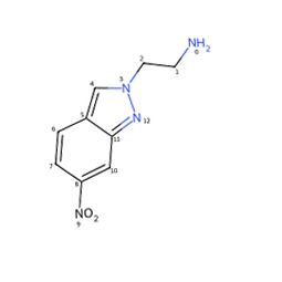 NCCn1cc2ccc([N+](=O)[O-])cc2n1